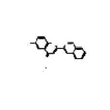 CC(C)(C)ON=c1cc(-c2cc3ccccc3cn2)oc2ccc(Br)cc12